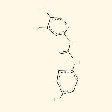 Cc1ccc(NC(=S)Nc2ccc(N)cc2)cc1Cl